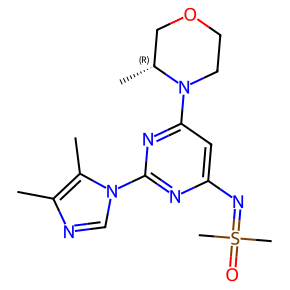 Cc1ncn(-c2nc(N=S(C)(C)=O)cc(N3CCOC[C@H]3C)n2)c1C